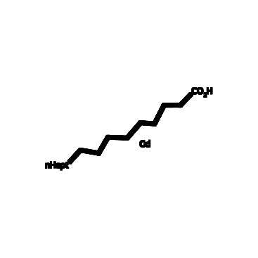 CCCCCCCCCCCCCCCC(=O)O.[Gd]